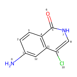 Nc1ccc2c(=O)[nH]cc(Cl)c2c1